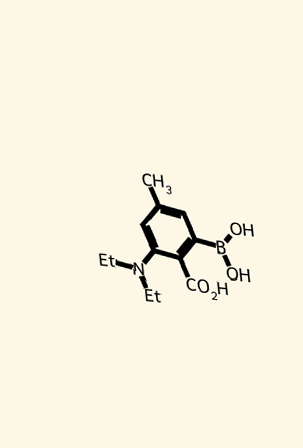 CCN(CC)c1cc(C)cc(B(O)O)c1C(=O)O